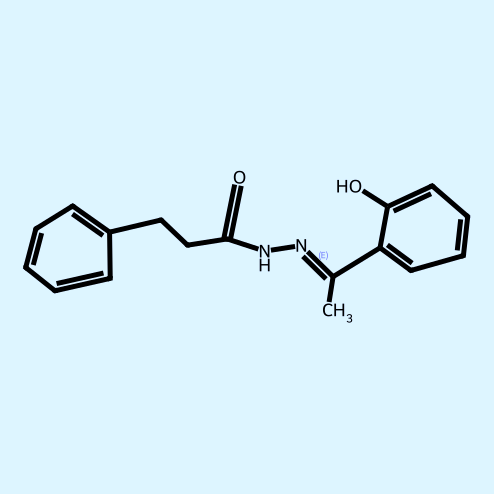 C/C(=N\NC(=O)CCc1ccccc1)c1ccccc1O